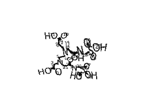 O=C(O)CN(CCN(CC(=O)O)CC(=O)NCS(=O)(=O)O)CC(=O)NCS(=O)(=O)O